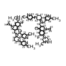 COc1cc2c(cc1F)c(=O)c(CN(Cc1ccnc(C)c1)[C@H]1CCCN(c3ccc(C)nc3)C1)cn2C1CC1.Cc1ccc(N2CCC[C@H](N(Cc3ccnc(C)c3)Cc3cn(C4CC4)c4cc(N5CCN[C@H](C)C5)c(F)cc4c3=O)C2)cn1